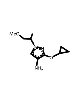 COCC(C)n1cc(N)c(OC2CC2)n1